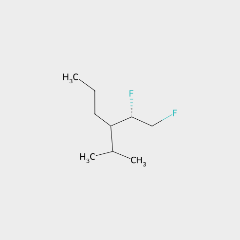 CCCC(C(C)C)[C@H](F)CF